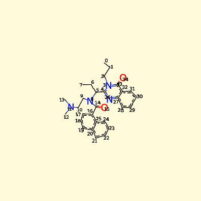 CCCn1c(C(CC)N(CCN(C)C)C(=O)c2cccc3ccccc23)nc2ccccc2c1=O